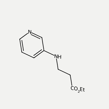 CCOC(=O)CCNc1cccnc1